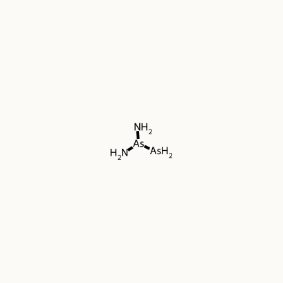 N[As](N)[AsH2]